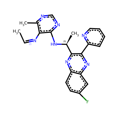 C/C=N\c1c(C)ncnc1N[C@@H](C)c1nc2ccc(F)cc2nc1-c1ccccn1